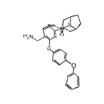 C=CC(=O)N1C2CCC1CN(c1ncc(CN)c(Oc3ccc(Oc4ccccc4)cc3)n1)C2